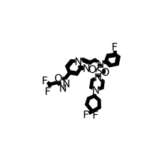 O=S(=O)(N1CCN(C2CCC(F)(F)CC2)CC1)N(Cc1cn2ccc(-c3nnc(C(F)F)o3)cc2n1)c1cccc(F)c1